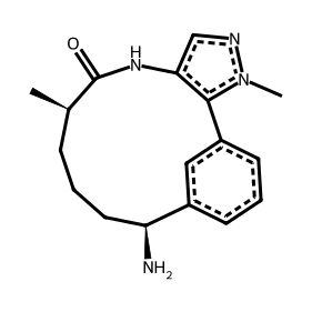 C[C@@H]1CCC[C@H](N)c2cccc(c2)-c2c(cnn2C)NC1=O